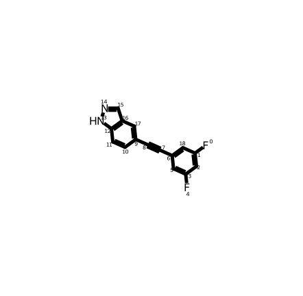 Fc1cc(F)cc(C#Cc2ccc3[nH]ncc3c2)c1